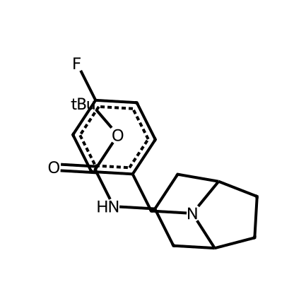 CC(C)(C)OC(=O)NC1CC2CCC(C1)N2Cc1ccc(F)cc1